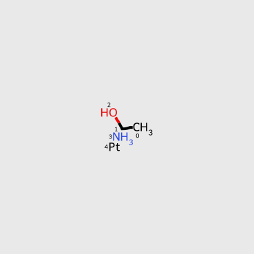 CCO.N.[Pt]